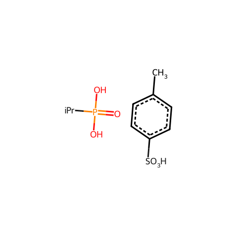 CC(C)P(=O)(O)O.Cc1ccc(S(=O)(=O)O)cc1